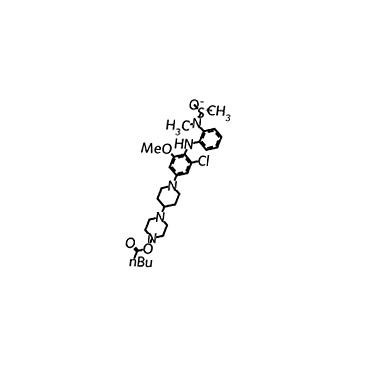 CCCCC(=O)ON1CCN(C2CCN(c3cc(Cl)c(Nc4ccccc4N(C)[S+](C)[O-])c(OC)c3)CC2)CC1